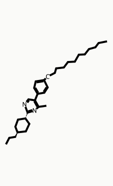 CCCCCCCCCCCCc1ccc(-c2cnc([C@H]3CC[C@H](CCC)CC3)nc2C)cc1